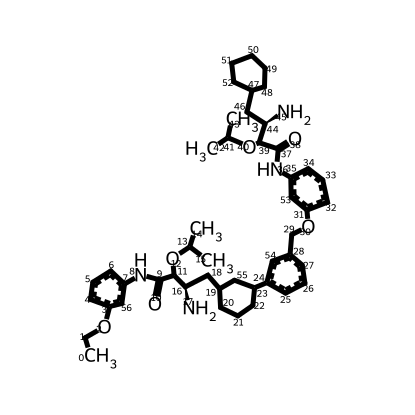 CCOc1cccc(NC(=O)C(OC(C)C)[C@H](N)CC2CCCC(c3cccc(COc4cccc(NC(=O)C(OC(C)C)[C@H](N)CC5CCCCC5)c4)c3)C2)c1